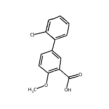 COc1ccc(-c2ccccc2Cl)cc1C(=O)O